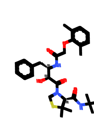 Cc1cccc(C)c1OCC(=O)N[C@@H](Cc1ccccc1)[C@H](O)C(=O)N1CSC(C)(C)[C@H]1C(=O)NC(C)(C)C